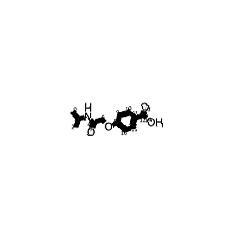 CC(C)NC(=O)COc1ccc(C(=O)O)cc1